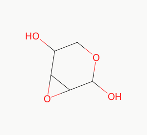 OC1COC(O)C2OC12